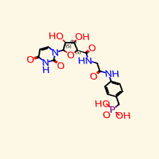 O=C(CNC(=O)[C@H]1OC(n2ccc(=O)[nH]c2=O)[C@@H](O)[C@H]1O)Nc1ccc(CP(=O)(O)O)cc1